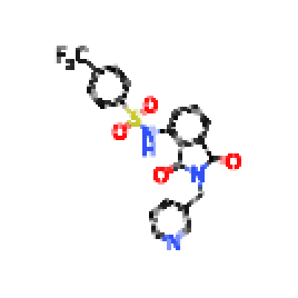 O=C1c2cccc(NS(=O)(=O)c3ccc(C(F)(F)F)cc3)c2C(=O)N1Cc1cccnc1